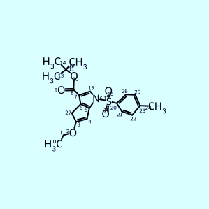 CCOC1=Cc2c(c(C(=O)OC(C)(C)C)cn2S(=O)(=O)c2ccc(C)cc2)C1